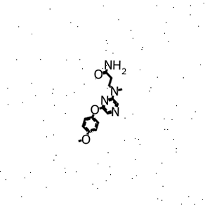 COc1ccc(Oc2cncc(N(C)CCC(N)=O)n2)cc1